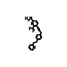 Nc1ccc(C#CCc2ccc(CCc3ccccn3)cc2)c(C(F)F)n1